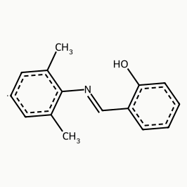 Cc1c[c]cc(C)c1N=Cc1ccccc1O